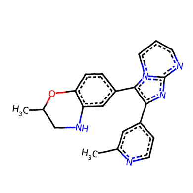 Cc1cc(-c2nc3ncccn3c2-c2ccc3c(c2)NCC(C)O3)ccn1